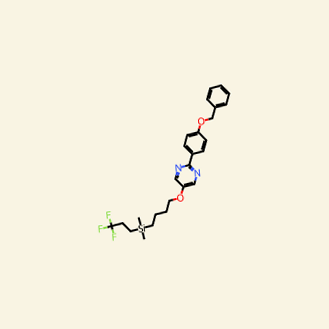 C[Si](C)(CCCCOc1cnc(-c2ccc(OCc3ccccc3)cc2)nc1)CCC(F)(F)F